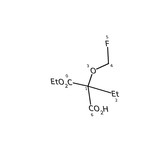 CCOC(=O)C(CC)(OCF)C(=O)O